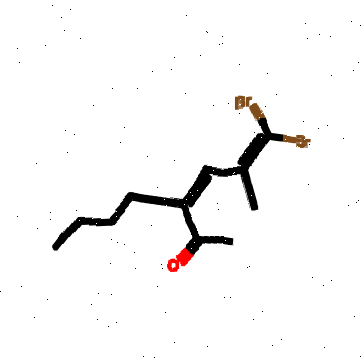 CCCC/C(=C/C(C)=C(Br)Br)C(C)=O